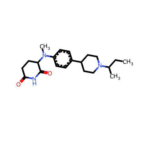 CCC(C)N1CCC(c2ccc(N(C)C3CCC(=O)NC3=O)cc2)CC1